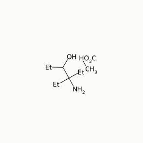 CC(=O)O.CCC(O)C(N)(CC)CC